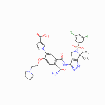 CC1(C)c2[nH]nc(NC(=O)c3cc(-n4ccc(C(=O)O)c4)c(OCCN4CCCC4)cc3C(N)=O)c2CN1S(=O)(=O)c1cc(F)cc(F)c1